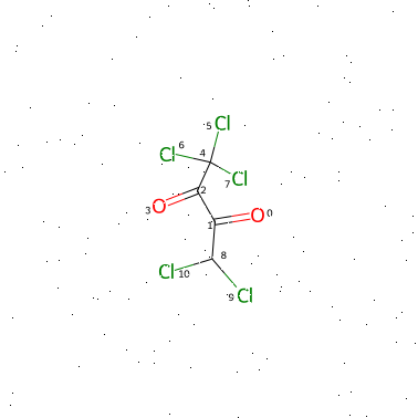 O=C(C(=O)C(Cl)(Cl)Cl)C(Cl)Cl